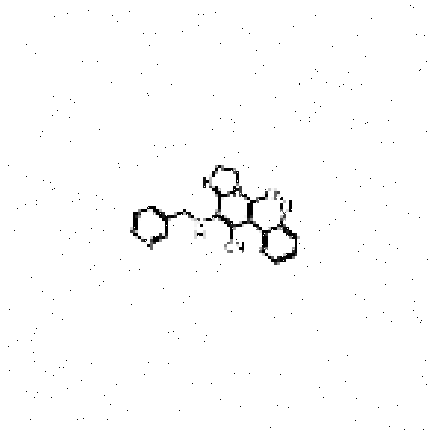 N#CC1=C(NCc2cccnc2)C2=NCCN2C(C#N)=C1c1ccccc1Cl